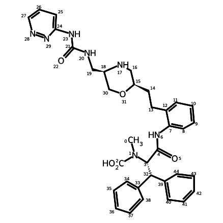 CN(C(=O)O)[C@H](C(=O)Nc1ccccc1CC[C@@H]1CN[C@H](CNC(=O)Nc2cccnn2)CO1)C(c1ccccc1)c1ccccc1